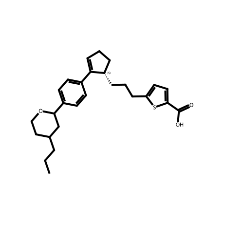 CCCC1CCOC(c2ccc(C3=CCC[C@@H]3CCCc3ccc(C(=O)O)s3)cc2)C1